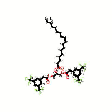 CCCCCCCC/C=C\CCCCCCCC(=O)OC(COC(=O)Cc1cc(C(F)(F)F)cc(C(F)(F)F)c1)COC(=O)Cc1cc(C(F)(F)F)cc(C(F)(F)F)c1